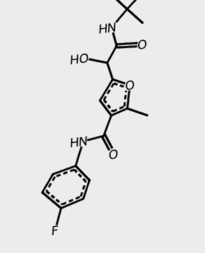 Cc1oc(C(O)C(=O)NC(C)(C)C)cc1C(=O)Nc1ccc(F)cc1